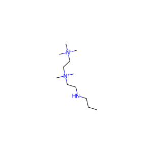 CCCNCC[N+](C)(C)CC[N+](C)(C)C